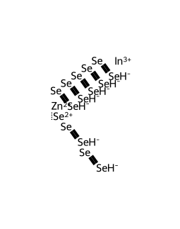 [In+3].[Se+2].[Se]=[SeH-].[Se]=[SeH-].[Se]=[SeH-].[Se]=[SeH-].[Se]=[SeH-].[Se]=[SeH-].[Se]=[SeH-].[Zn+2]